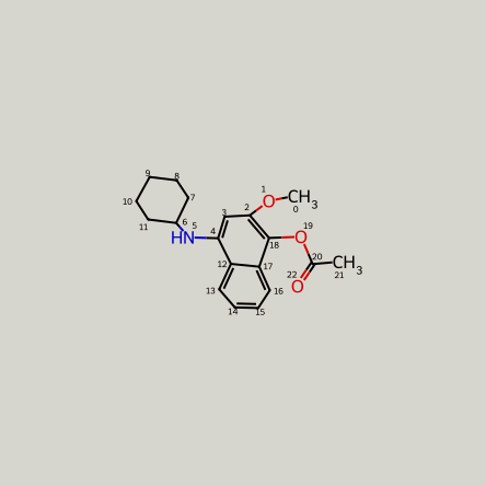 COc1cc(NC2CCCCC2)c2ccccc2c1OC(C)=O